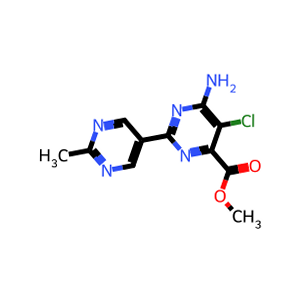 COC(=O)c1nc(-c2cnc(C)nc2)nc(N)c1Cl